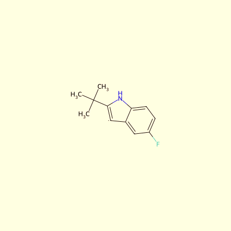 CC(C)(C)c1[c]c2cc(F)ccc2[nH]1